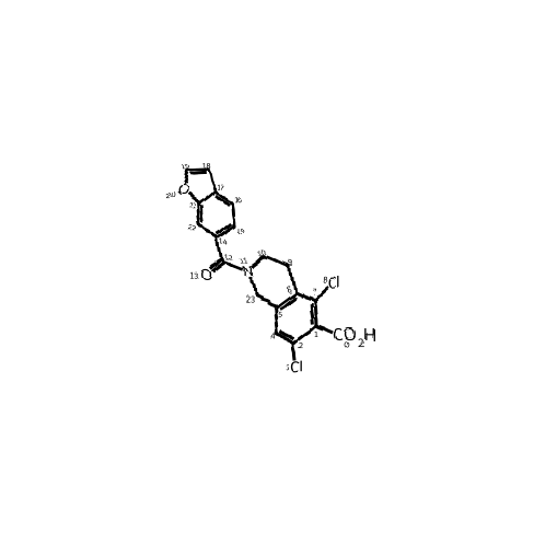 O=C(O)c1c(Cl)cc2c(c1Cl)CCN(C(=O)c1ccc3ccoc3c1)C2